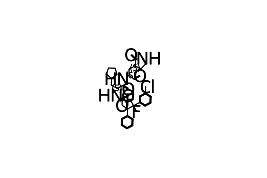 O=C[C@H](C[C@@H]1CCNC1=O)NC(=O)[C@H](CC1CCCC1)NC(=O)OC(c1ccccc1)C(F)(F)c1cccc(Cl)c1